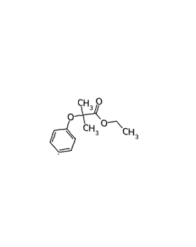 CCOC(=O)C(C)(C)Oc1cc[c]cc1